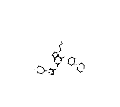 OCCCn1ccc2nc(Nc3cnn(C4CCOCC4)c3)nc(N[C@H]3CC[C@H](N4CCOCC4)CC3)c21